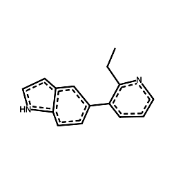 CCc1ncccc1-c1ccc2[nH]ccc2c1